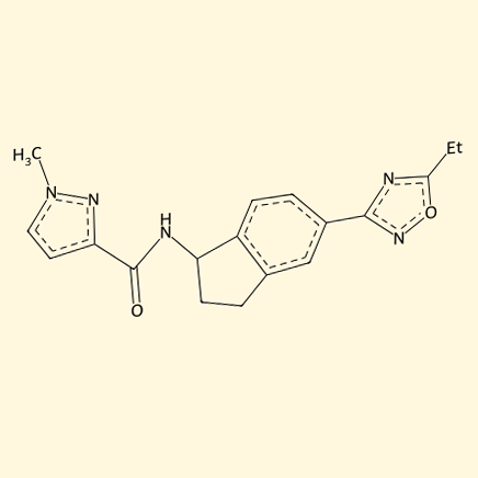 CCc1nc(-c2ccc3c(c2)CCC3NC(=O)c2ccn(C)n2)no1